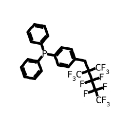 FC(F)(F)C(F)(F)C(F)(F)C(Cc1ccc(P(c2ccccc2)c2ccccc2)cc1)(C(F)(F)F)C(F)(F)F